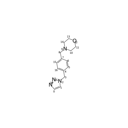 c1cn(Cc2ccc(CN3CCOCC3)cc2)nn1